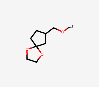 CCOCC1CCC2(C1)OCCO2